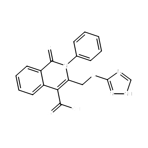 O=C(O)c1c(CSc2nc[nH]n2)n(-c2ccccc2)c(=O)c2ccccc12